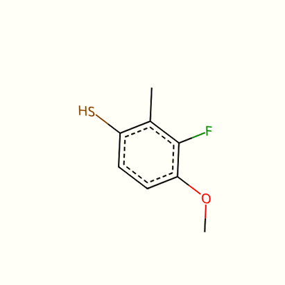 COc1ccc(S)c(C)c1F